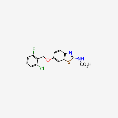 O=C(O)Nc1nc2ccc(OCc3c(F)cccc3Cl)cc2s1